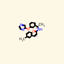 Cc1cccc(/C=C\C(=O)N[C@@H](C)c2cccc(Oc3cnccn3)c2)c1